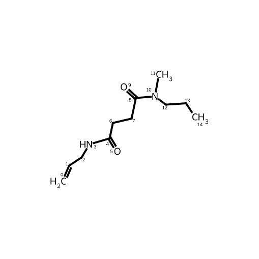 C=CCNC(=O)CCC(=O)N(C)CCC